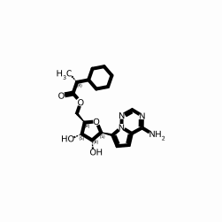 C[C@@H](C(=O)OC[C@H]1O[C@@H](c2ccc3c(N)ncnn23)[C@H](O)[C@@H]1O)C1CCCCC1